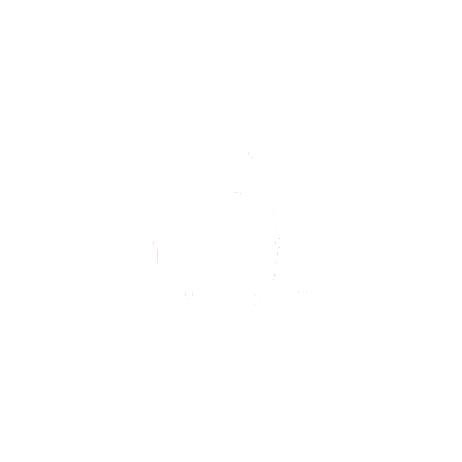 O=C1CCC(=O)SCOCOCO1